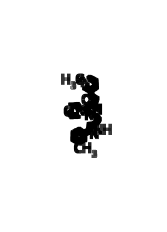 Cc1cccc(-c2cc(Cc3nc(N4CCOCC4)c4oc(C5CCCN(C)C5)cc4n3)[nH]n2)c1